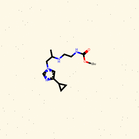 CC(Cn1cnc(C2CC2)c1)NCCNC(=O)OC(C)(C)C